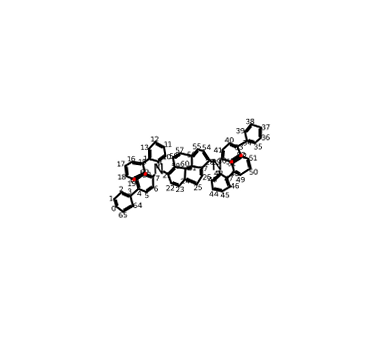 c1ccc(-c2ccc(N(c3ccccc3-c3ccccc3)c3ccc4ccc5c(N(c6ccc(-c7ccccc7)cc6)c6ccccc6-c6ccccc6)ccc6ccc3c4c65)cc2)cc1